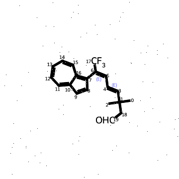 CC(C)(/C=C/C=C(\c1ccc2cccccc1-2)C(F)(F)F)CC=O